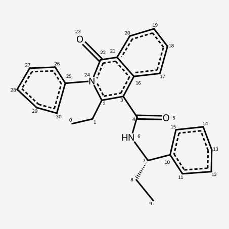 CCc1c(C(=O)N[C@@H](CC)c2ccccc2)c2ccccc2c(=O)n1-c1ccccc1